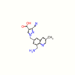 Cc1cnc2c(CN)cc(Cn3cc(C(=O)O)c(C#N)n3)cc2c1